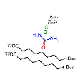 CCCCCCCCCCCCCCCCCC(=O)[O-].CCCCCCCCCCCCCCCCCC(=O)[O-].NC(N)=O.[Cl-].[Cl-].[Zn+2].[Zn+2]